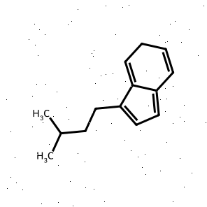 CC(C)CCC1=CC=C2C=CCC=C21